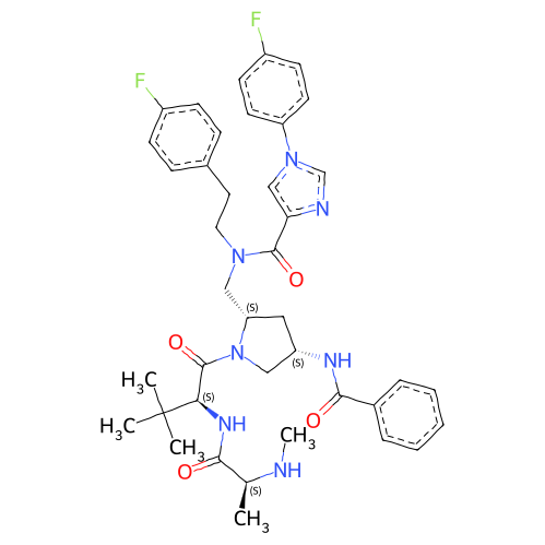 CN[C@@H](C)C(=O)N[C@H](C(=O)N1C[C@@H](NC(=O)c2ccccc2)C[C@H]1CN(CCc1ccc(F)cc1)C(=O)c1cn(-c2ccc(F)cc2)cn1)C(C)(C)C